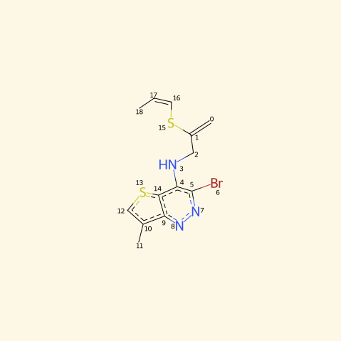 C=C(CNc1c(Br)nnc2c(C)csc12)S/C=C\C